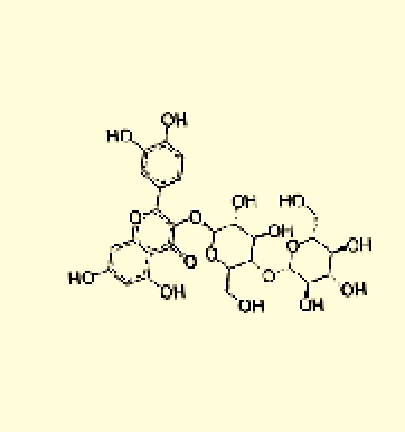 O=c1c(O[C@@H]2O[C@H](CO)[C@@H](O[C@@H]3O[C@H](CO)[C@@H](O)[C@H](O)[C@H]3O)[C@H](O)[C@H]2O)c(-c2ccc(O)c(O)c2)oc2cc(O)cc(O)c12